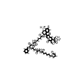 CC[C@@]1(O)C(=O)OCc2c1cc1n(c2=O)Cc2c-1nc1cc(F)c(C)c3c1c2[C@@H](NC(=O)CCCNC(=O)CNC(=O)[C@H](Cc1ccccc1)NC(=O)CNC(=O)CNC(=O)CCCCCN1CC=CC1=O)CC3